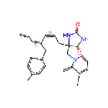 C=C/C=C(\C=C/CC1(CN2C=CC=C(C)C2=C)NC(=O)NC1=O)Cc1ccc(C)cc1